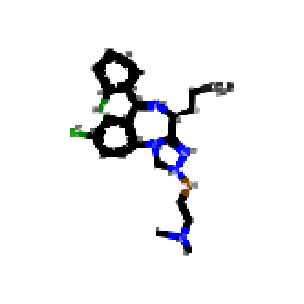 CN(C)CCSN1CN2C(=N1)[C@H](CCC(=O)O)N=C(c1ccccc1F)c1cc(Br)ccc12